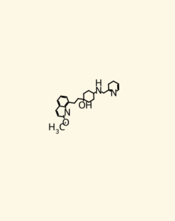 COc1ccc2cccc(CCC3(O)CCC(NCC4=NC=CCC4)CC3)c2n1